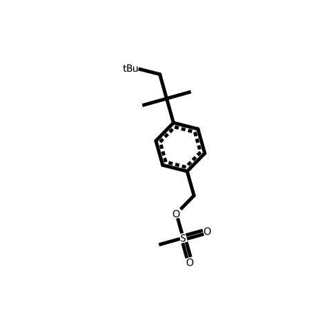 CC(C)(C)CC(C)(C)c1ccc(COS(C)(=O)=O)cc1